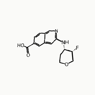 O=C(O)c1ccc2cnc(N[C@H]3CCOC[C@H]3F)cc2c1